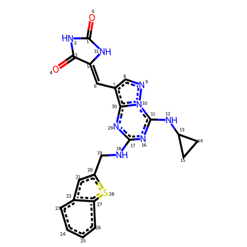 O=C1NC(=O)/C(=C/c2cnn3c(NC4CC4)nc(NCc4cc5ccccc5s4)nc23)N1